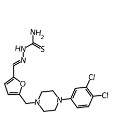 NC(=S)NN=Cc1ccc(CN2CCN(c3ccc(Cl)c(Cl)c3)CC2)o1